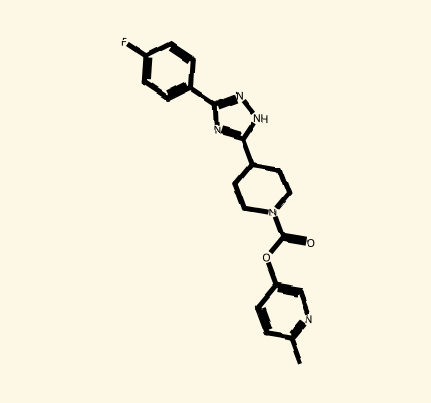 Cc1ccc(OC(=O)N2CCC(c3nc(-c4ccc(F)cc4)n[nH]3)CC2)cn1